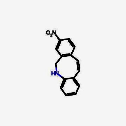 O=[N+]([O-])c1ccc2c(c1)CNc1ccccc1C=C2